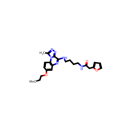 COCCOc1ccc2c(c1)nc(NCCCCNC(=O)Cc1ccco1)c1nnc(C)n12